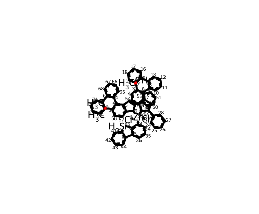 CC(C)c1ccc2c(c1-c1ccccc1-c1ccccc1)C=C(c1ccccc1)[CH]2[Zr]([Cl])([Cl])([c]1cccc2c1[SiH2]c1ccccc1-2)[CH]1C(c2ccccc2)=Cc2c1ccc(C(C)C)c2-c1ccccc1-c1ccccc1